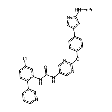 CCCNc1ncc(-c2ccc(Oc3ncc(NC(=O)Nc4cc(Cl)ccc4-c4cccnc4)cn3)cc2)s1